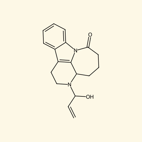 C=CC(O)N1CCc2c3n(c4ccccc24)C(=O)CCCC31